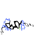 Cc1ncc(-c2ccc(-c3ccc4c(c3)c3cncnc3c3nc(C)[nH]c43)cc2F)[nH]1